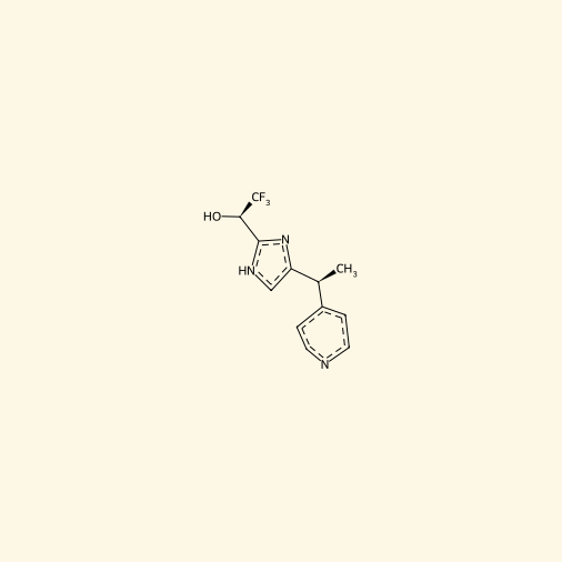 C[C@@H](c1ccncc1)c1c[nH]c([C@@H](O)C(F)(F)F)n1